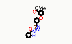 COC(=O)c1cccc(Oc2cccc(-c3nnc(NC(=O)c4ccccc4)s3)c2)c1